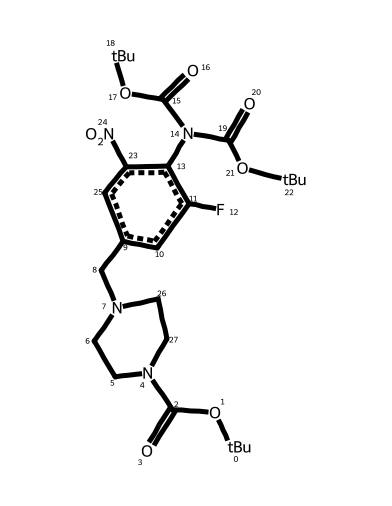 CC(C)(C)OC(=O)N1CCN(Cc2cc(F)c(N(C(=O)OC(C)(C)C)C(=O)OC(C)(C)C)c([N+](=O)[O-])c2)CC1